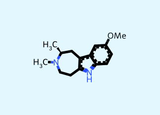 COc1ccc2[nH]c3c(c2c1)C[C@H](C)N(C)CC3